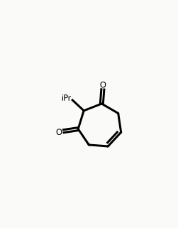 CC(C)C1C(=O)CC=CCC1=O